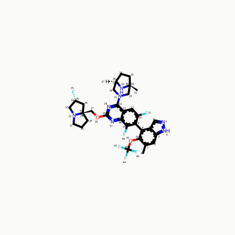 Cc1cc2[nH]ncc2c(-c2c(F)cc3c(N4C[C@H]5CC[C@](C)(C4)N5)nc(OC[C@@]45CCCN4C[C@H](F)C5)nc3c2F)c1OC(F)(F)F